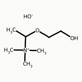 CC(OCCO)[N+](C)(C)C.[OH-]